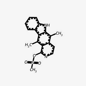 Cc1c2ccnc(OS(C)(=O)=O)c2c(C)c2c1[nH]c1ccccc12